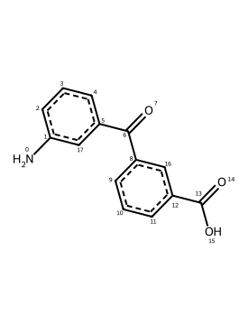 Nc1cccc(C(=O)c2cccc(C(=O)O)c2)c1